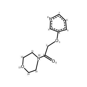 O=C(COc1cccnc1)N1CCOCC1